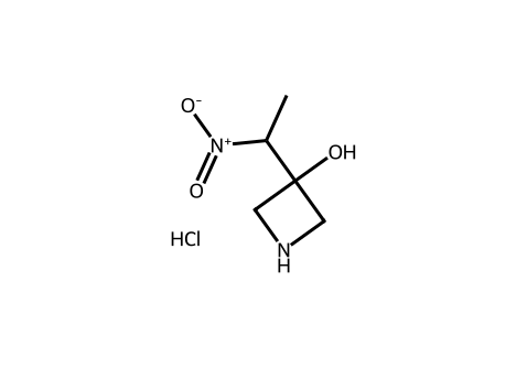 CC([N+](=O)[O-])C1(O)CNC1.Cl